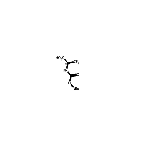 CC(C)(C)OC(=O)N[C@@H](C(=O)O)C(F)(F)F